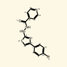 O=C(NNc1nc(-c2ccc(Br)cc2)cs1)c1ccncc1